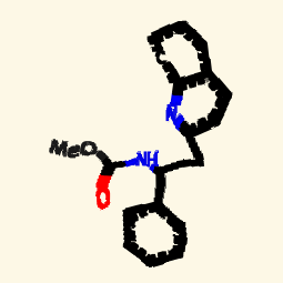 COC(=O)NC(Cc1ccc2ccccc2n1)c1ccccc1